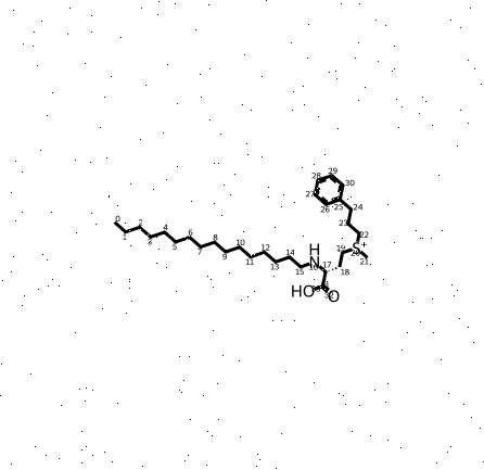 CCCCCCCCCCCCCCCCN[C@H](CC[S+](C)CCCc1ccccc1)C(=O)O